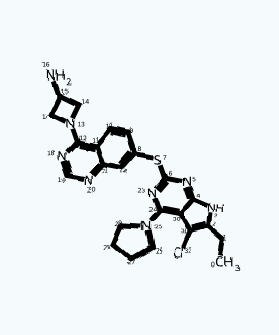 CCc1[nH]c2nc(Sc3ccc4c(N5CC(N)C5)ncnc4c3)nc(N3CCCC3)c2c1Cl